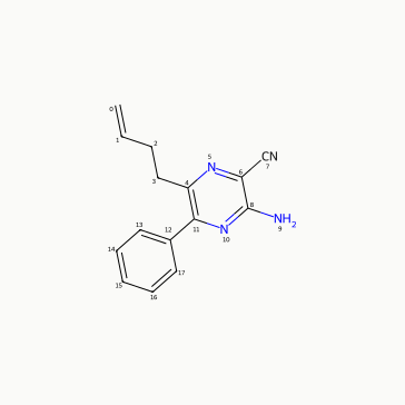 C=CCCc1nc(C#N)c(N)nc1-c1ccccc1